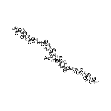 C=CC(=O)OCC(C)OC(=O)CCC(=O)OCCCCOC(=O)C1CCC(C(=O)Oc2ccc(OC(=O)C3CCC(C(=O)OCCCCOC(=O)CCC(=O)OC(C)COC(=O)C=C)CC3)c(C(C)=O)c2)CC1